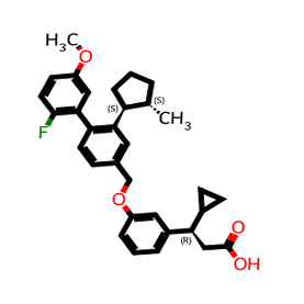 COc1ccc(F)c(-c2ccc(COc3cccc([C@H](CC(=O)O)C4CC4)c3)cc2[C@H]2CCC[C@@H]2C)c1